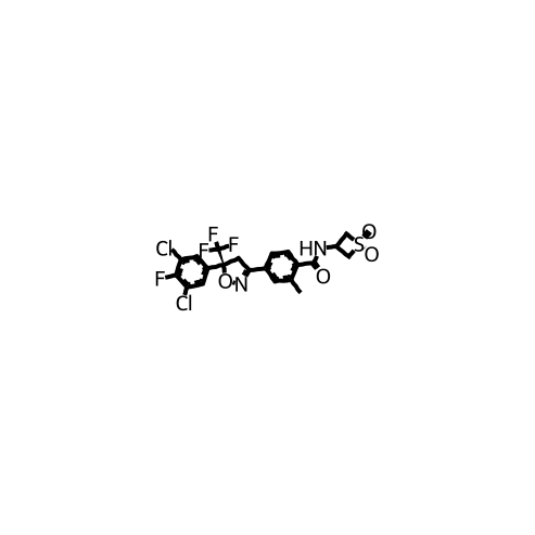 Cc1cc(C2=NO[C@@](c3cc(Cl)c(F)c(Cl)c3)(C(F)(F)F)C2)ccc1C(=O)NC1CS(=O)(=O)C1